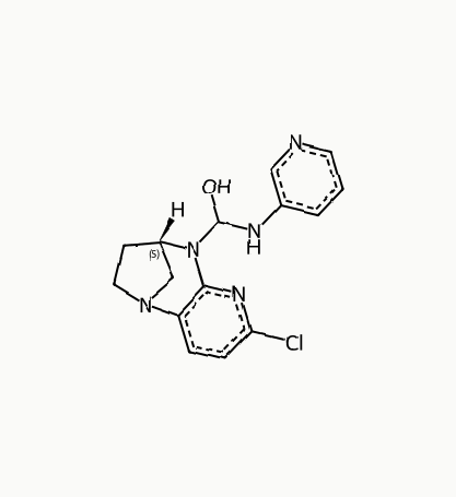 OC(Nc1cccnc1)N1c2nc(Cl)ccc2N2CC[C@H]1C2